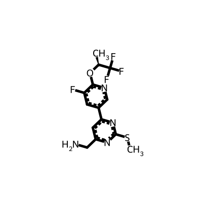 CSc1nc(CN)cc(-c2cnc(O[C@@H](C)C(F)(F)F)c(F)c2)n1